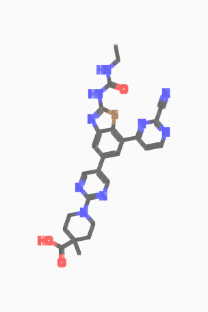 CCNC(=O)Nc1nc2cc(-c3cnc(N4CCC(C)(C(=O)O)CC4)nc3)cc(-c3ccnc(C#N)n3)c2s1